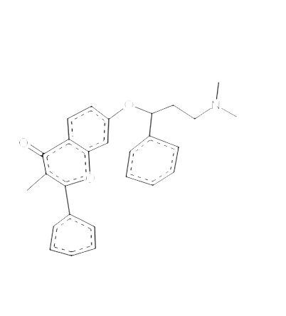 Cc1c(-c2ccccc2)oc2cc(OC(CCN(C)C)c3ccccc3)ccc2c1=O